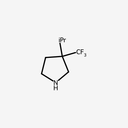 CC(C)C1(C(F)(F)F)CCNC1